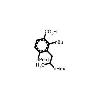 CCCCCCC(C)Cc1c(CCCCC)ccc(C(=O)O)c1CCCC